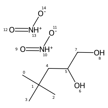 CC(C)(C)CC(O)CO.O=[NH+][O-].O=[NH+][O-]